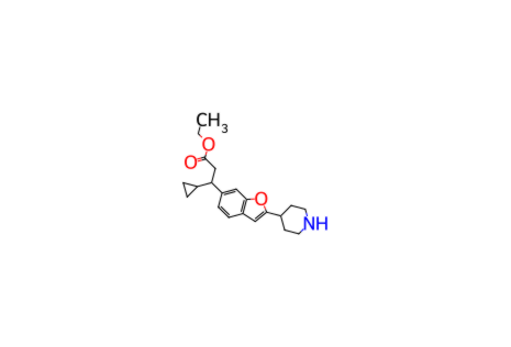 CCOC(=O)CC(c1ccc2cc(C3CCNCC3)oc2c1)C1CC1